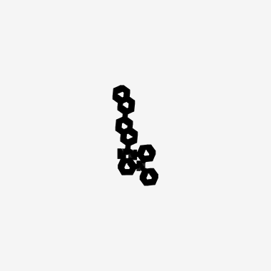 c1ccc(N2c3ccccc3-n3c(-c4ccc5cc(-c6ccc7ccccc7c6)ccc5c4)nc4cccc2c43)cc1